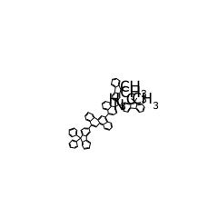 CC1(C)c2ccccc2-c2ccc(N(c3ccc4c(c3)C(C)(C)c3ccccc3-4)c3ccc(-c4cc5c6ccccc6c(-c6ccc7c(c6)-c6ccccc6C7(c6ccccc6)c6ccccc6)cc5c5ccccc45)c4ccccc34)cc21